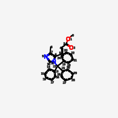 COC(=O)/C=C/c1c(C)ncn1C(c1ccccc1)(c1ccccc1)c1ccccc1